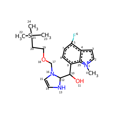 Cn1ccc2c(F)ccc(C(O)C3NC=CN3COCC[Si](C)(C)C)c21